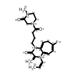 C=C1C(=O)N(CCCC(=O)N2CCN(C)C(=O)C2)C2=CCC(F)=CC=C2N1/C=C\C